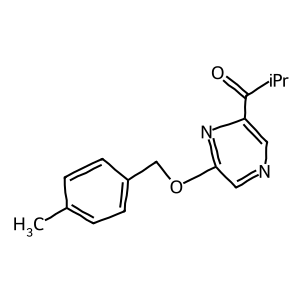 Cc1ccc(COc2cncc(C(=O)C(C)C)n2)cc1